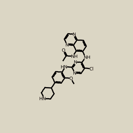 COc1cc(C2CCNCC2)ccc1Nc1ncc(Cl)c(Nc2ccc3nccnc3c2NC(C)=O)n1